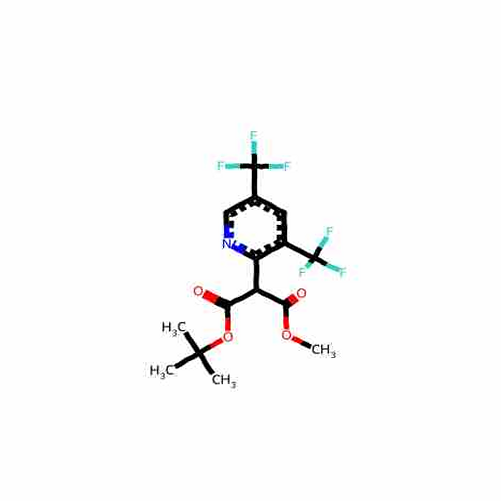 COC(=O)C(C(=O)OC(C)(C)C)c1ncc(C(F)(F)F)cc1C(F)(F)F